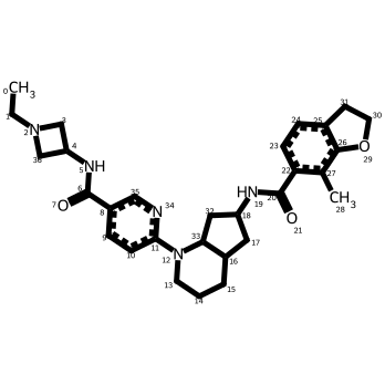 CCN1CC(NC(=O)c2ccc(N3CCCC4CC(NC(=O)c5ccc6c(c5C)OCC6)CC43)nc2)C1